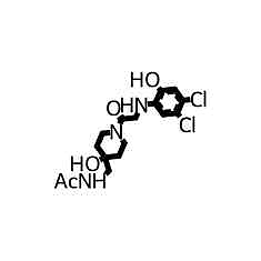 CC(=O)NCC1(O)CCN(C(=O)CNc2cc(Cl)c(Cl)cc2O)CC1